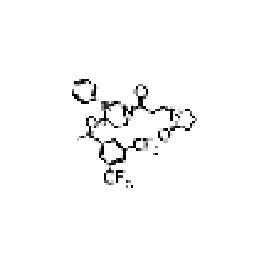 C[C@@H](O[C@H]1CCN(C(=O)CCN2CCCC2=O)C[C@H]1c1ccccc1)c1cc(C(F)(F)F)cc(C(F)(F)F)c1